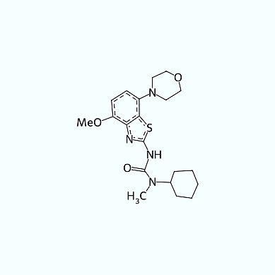 COc1ccc(N2CCOCC2)c2sc(NC(=O)N(C)C3CCCCC3)nc12